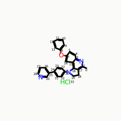 Cc1nc2ccc(Oc3ccccc3)cc2c2c1CCN2c1ccc(-c2cccnc2)cc1.Cl